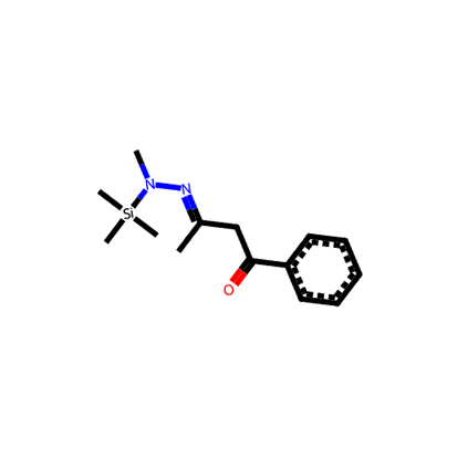 C/C(CC(=O)c1ccccc1)=N\N(C)[Si](C)(C)C